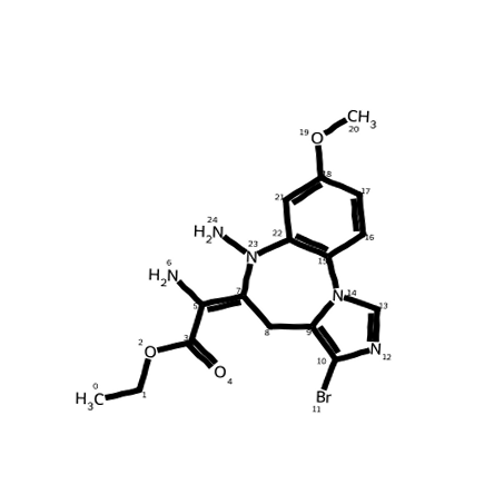 CCOC(=O)/C(N)=C1\Cc2c(Br)ncn2-c2ccc(OC)cc2N1N